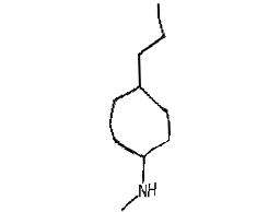 CCCC1CCC(NC)CC1